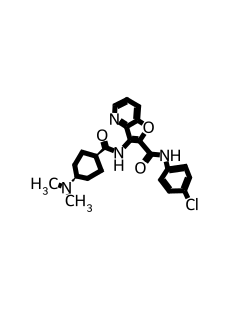 CN(C)[C@H]1CC[C@H](C(=O)Nc2c(C(=O)Nc3ccc(Cl)cc3)oc3cccnc23)CC1